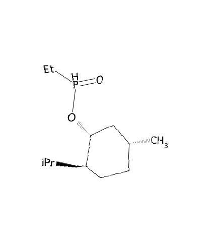 CC[PH](=O)O[C@@H]1C[C@H](C)CC[C@H]1C(C)C